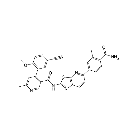 COc1ccc(C#N)cc1-c1cc(C)ncc1C(=O)Nc1nc2ccc(-c3ccc(C(N)=O)c(C)c3)nc2s1